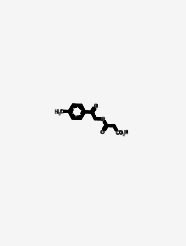 Cc1ccc(C(=O)COC(=O)CC(=O)O)cc1